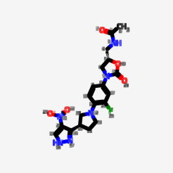 CC(=O)NC[C@H]1CN(c2ccc(N3CC[C@@H](c4n[nH]cc4[N+](=O)[O-])C3)c(F)c2)C(=O)O1